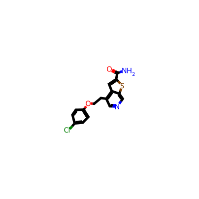 NC(=O)c1cc2c(CCOc3ccc(Cl)cc3)cncc2s1